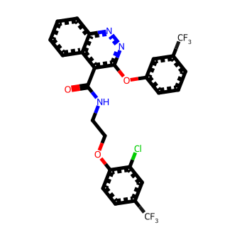 O=C(NCCOc1ccc(C(F)(F)F)cc1Cl)c1c(Oc2cccc(C(F)(F)F)c2)nnc2ccccc12